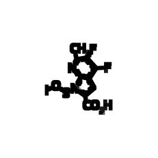 Cc1nc2c(cc(C(=O)O)n2SOI)c(F)c1F